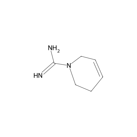 N=C(N)N1CC=CCC1